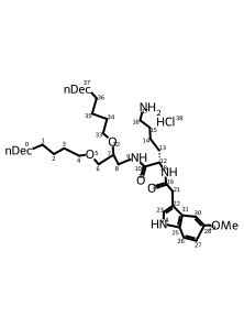 CCCCCCCCCCCCCCOCC(CNC(=O)[C@H](CCCCN)NC(=O)Cc1c[nH]c2ccc(OC)cc12)OCCCCCCCCCCCCCC.Cl